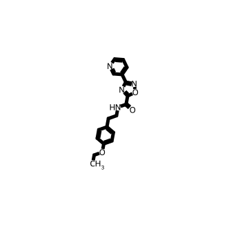 CCOc1ccc(CCNC(=O)c2nc(-c3cccnc3)no2)cc1